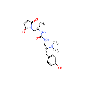 C[C@H](CN1C(=O)C=CC1=O)NC(=O)NC[C@H](Cc1ccc(O)cc1)N(C)C